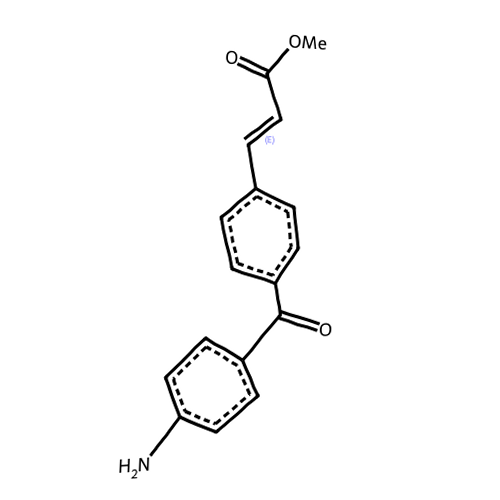 COC(=O)/C=C/c1ccc(C(=O)c2ccc(N)cc2)cc1